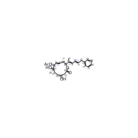 CC(=O)O[C@@H]1/C=C/[C@H](C)[C@@H](/C(C)=C/C=C/Cc2cccnc2)OC(=O)C[C@H](O)CC[C@@]1(C)O